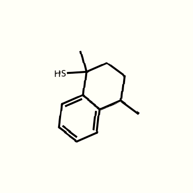 CC1CCC(C)(S)c2ccccc21